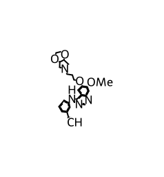 C#Cc1cccc(Nc2ncnc3cc(OC)c(OCCCN4CC5OCCOC5C4)cc23)c1